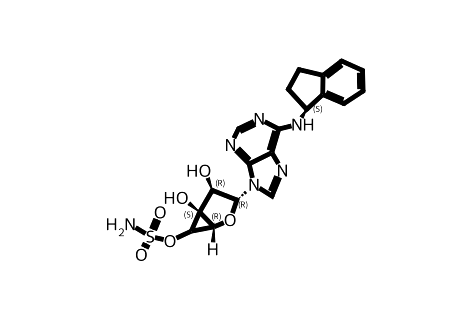 NS(=O)(=O)OC1[C@H]2O[C@@H](n3cnc4c(N[C@H]5CCc6ccccc65)ncnc43)[C@H](O)[C@@]12O